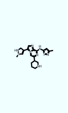 Cc1cc(Nc2nc(C3CCCNC3)cn3c(C4=CN(C)NC4)cnc23)sn1